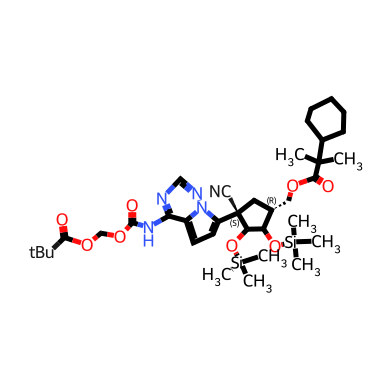 CC(C)(C)C(=O)OCOC(=O)Nc1ncnn2c([C@]3(C#N)C[C@H](COC(=O)C(C)(C)C4CCCCC4)C(O[Si](C)(C)C)C3O[Si](C)(C)C)ccc12